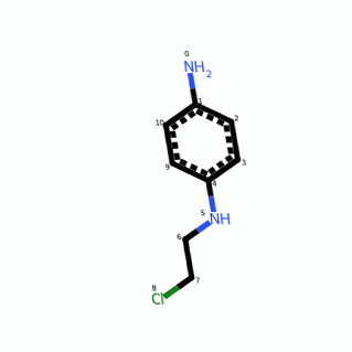 Nc1ccc(NCCCl)cc1